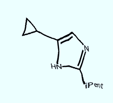 CCCC(C)c1ncc(C2CC2)[nH]1